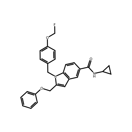 O=C(NC1CC1)c1ccc2c(c1)cc(COc1ccccc1)n2Cc1ccc(OCF)cc1